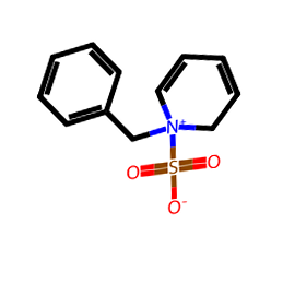 O=S(=O)([O-])[N+]1(Cc2ccccc2)C=CC=CC1